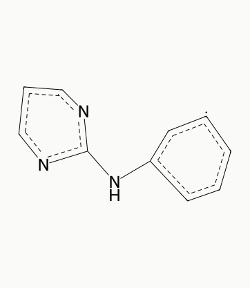 [c]1cccc(Nc2ncccn2)c1